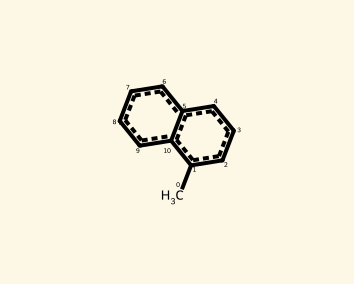 Cc1c[c]cc2cc[c]cc12